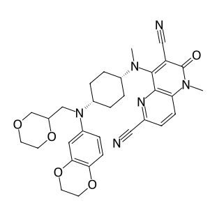 Cn1c(=O)c(C#N)c(N(C)[C@H]2CC[C@@H](N(CC3COCCO3)c3ccc4c(c3)OCCO4)CC2)c2nc(C#N)ccc21